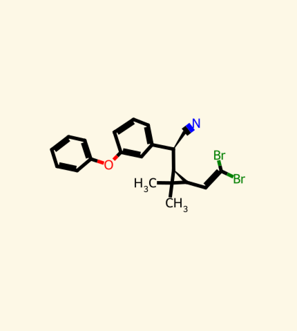 CC1(C)C(C=C(Br)Br)[C@@H]1[C@H](C#N)c1cccc(Oc2ccccc2)c1